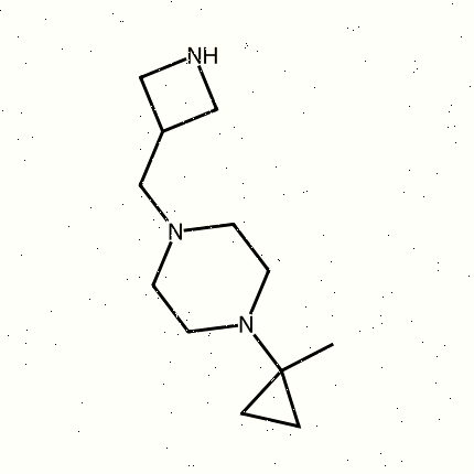 CC1(N2CCN(CC3CNC3)CC2)CC1